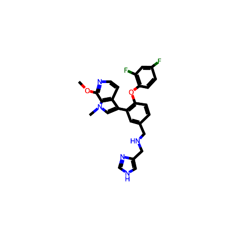 COc1nccc2c(-c3cc(CNCc4c[nH]cn4)ccc3Oc3ccc(F)cc3F)cn(C)c12